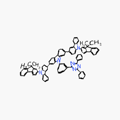 CC1(C)c2ccccc2-c2ccc(-n3c4ccccc4c4cc(-c5ccc6c7ccc(-c8ccc9c(c8)c8ccccc8n9-c8ccc9c(c8)C(C)(C)c8ccccc8-9)cc7n(-c7cccc(-c8nc(-c9ccccc9)nc(-c9ccccc9)n8)c7)c6c5)ccc43)cc21